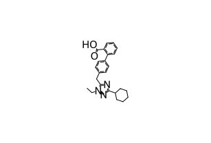 CCn1nc(C2CCCCC2)nc1Cc1ccc(-c2ccccc2C(=O)O)cc1